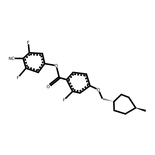 C[C@H]1CC[C@H](COc2ccc(C(=O)Oc3cc(F)c(C#N)c(F)c3)c(F)c2)CC1